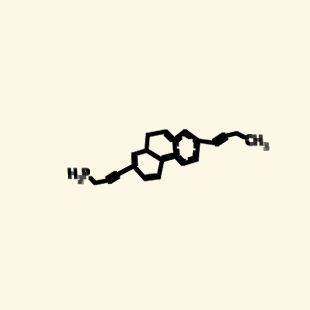 CCC#Cc1ccc2c(c1)=CCC1C=C(C#CCP)C=CC=21